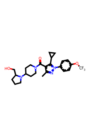 Cc1nn(-c2ccc(OC(F)(F)F)cc2)c(C2CC2)c1C(=O)N1CCC(N2CCCC2CO)CC1